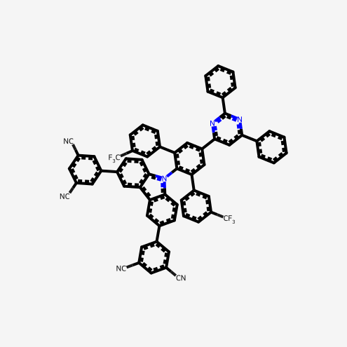 N#Cc1cc(C#N)cc(-c2ccc3c(c2)c2cc(-c4cc(C#N)cc(C#N)c4)ccc2n3-c2c(-c3cccc(C(F)(F)F)c3)cc(-c3cc(-c4ccccc4)nc(-c4ccccc4)n3)cc2-c2cccc(C(F)(F)F)c2)c1